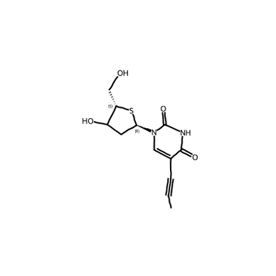 CC#Cc1cn([C@H]2CC(O)[C@H](CO)S2)c(=O)[nH]c1=O